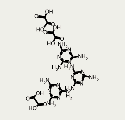 Nc1nc(N)nc(N)n1.Nc1nc(N)nc(N)n1.Nc1nc(N)nc(N)n1.O=C(O)C(=O)O.O=C(O)C(=O)O.O=C(O)C(=O)O